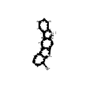 Brc1cccc2c1sc1cc3[nH]c4ccccc4c3cc12